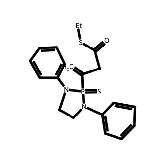 C=C(CC(=O)SCC)P1(=S)N(c2ccccc2)CCN1c1ccccc1